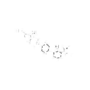 C[C@@H]1OCC2(CCN(c3cnc(-c4cccc(P(C)(C)=O)c4Cl)cn3)CC2)[C@@H]1N